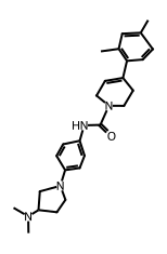 Cc1ccc(C2=CCN(C(=O)Nc3ccc(N4CCC(N(C)C)C4)cc3)CC2)c(C)c1